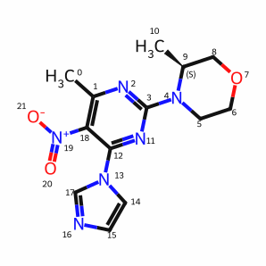 Cc1nc(N2CCOC[C@@H]2C)nc(-n2ccnc2)c1[N+](=O)[O-]